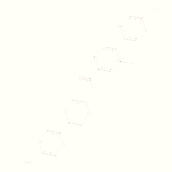 CCCCCCCc1ccc(-c2ccc(C(=O)Oc3ccc(-c4ccc(OCCCCC)cc4)cc3)cc2F)cc1